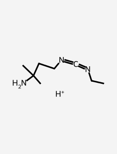 CCN=C=NCCC(C)(C)N.[H+]